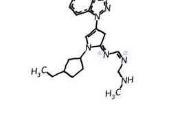 CCC1CCC(N2C=C(n3nnc4ccccc43)C/C2=N\C=N/CNC)C1